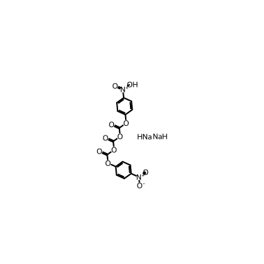 O=C(OC(=O)Oc1ccc([N+](=O)[O-])cc1)OC(=O)Oc1ccc([N+](=O)O)cc1.[NaH].[NaH]